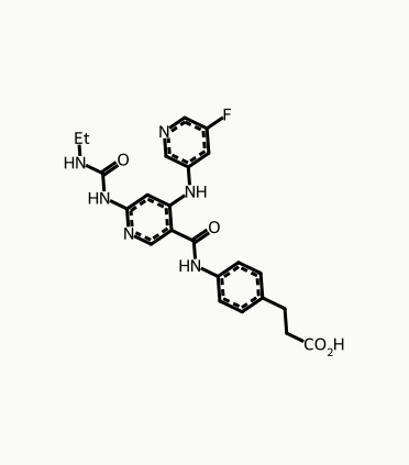 CCNC(=O)Nc1cc(Nc2cncc(F)c2)c(C(=O)Nc2ccc(CCC(=O)O)cc2)cn1